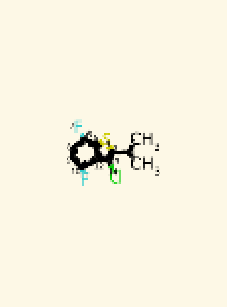 CC(C)c1sc2c(F)ccc(F)c2c1Cl